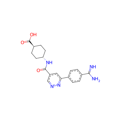 N=C(N)c1ccc(-c2cc(C(=O)N[C@H]3CC[C@H](C(=O)O)CC3)cnn2)cc1